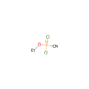 CCO[PH](Cl)(Cl)C#N